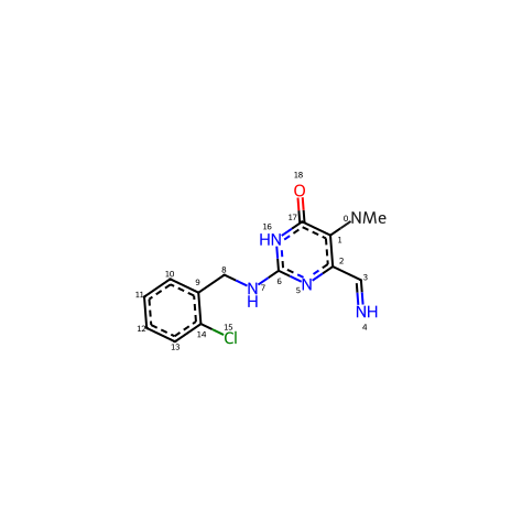 CNc1c(C=N)nc(NCc2ccccc2Cl)[nH]c1=O